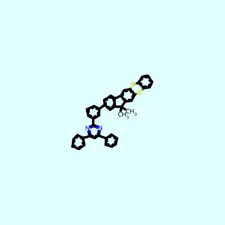 CC1(C)c2cc(-c3cccc(-c4nc(-c5ccccc5)cc(-c5ccccc5)n4)c3)ccc2-c2cc3c(cc21)Sc1ccccc1S3